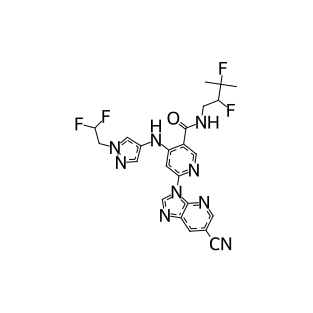 CC(C)(F)C(F)CNC(=O)c1cnc(-n2cnc3cc(C#N)cnc32)cc1Nc1cnn(CC(F)F)c1